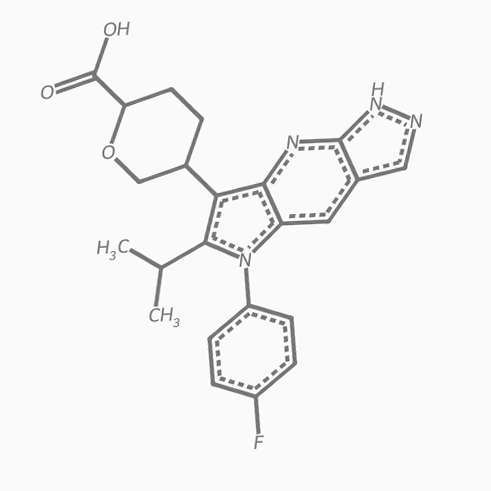 CC(C)c1c(C2CCC(C(=O)O)OC2)c2nc3[nH]ncc3cc2n1-c1ccc(F)cc1